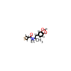 CCN(C(=O)C1CSC1)C(C)Cc1ccc2c(c1)OCO2